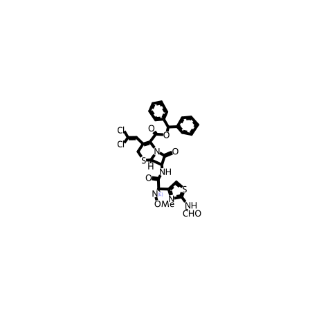 CO/N=C(/C(=O)NC1C(=O)N2C(C(=O)OC(c3ccccc3)c3ccccc3)=C(C=C(Cl)Cl)CS[C@H]12)c1csc(NC=O)n1